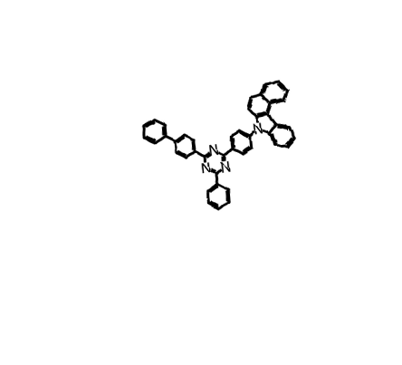 c1ccc(-c2ccc(-c3nc(-c4ccccc4)nc(-c4ccc(-n5c6ccccc6c6c7ccccc7ccc65)cc4)n3)cc2)cc1